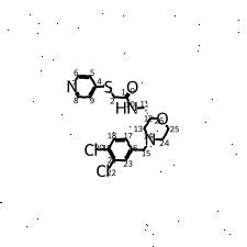 O=C(CSc1ccncc1)NC[C@H]1CN(Cc2ccc(Cl)c(Cl)c2)CCO1